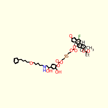 CCC(=O)O[C@@H]1[C@H](C)C[C@H]2[C@@H]3C[C@H](F)C4=CC(=O)C=C[C@]4(C)[C@@]3(C)[C@@H](OC(=O)OCCSSCCOC(=O)Oc3ccc(C(O)CNCCCCCOCCCCCc4ccccc4)cc3CO)C[C@]12C